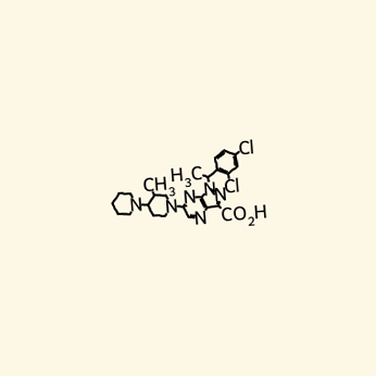 CC1CN(c2cnc3c(C(=O)O)nn(C(C)c4ccc(Cl)cc4Cl)c3n2)CCC1N1CCCCC1